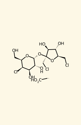 OC[C@H]1O[C@H](O[C@]2(CCl)O[C@H](CCl)[C@@H](O)[C@@H]2O)[C@H](O)[C@@H](O)[C@H]1Cl.[CH2]C(=O)O